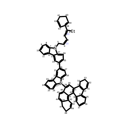 CC/C(=C\C=C/Cn1c2ccccc2c2cc(-c3ccc4c(c3)c3ccccc3n4-c3cc4c5c(c6ccccc6c4c4c6c(ccc34)CCC=C6)C=CCC5)ccc21)C1=CCCC=C1